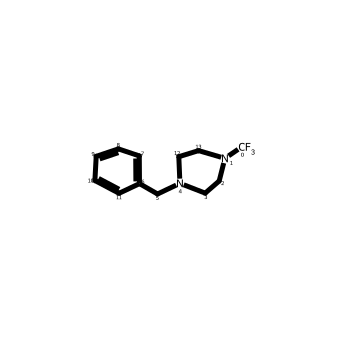 FC(F)(F)N1CCN(Cc2ccccc2)CC1